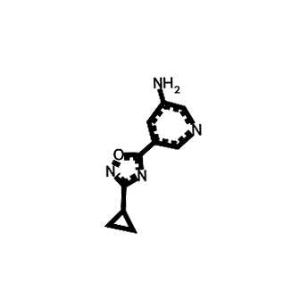 Nc1cncc(-c2nc(C3CC3)no2)c1